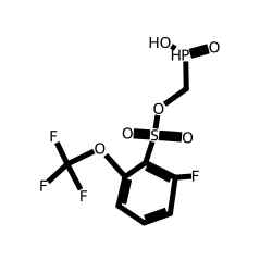 O=[PH](O)COS(=O)(=O)c1c(F)cccc1OC(F)(F)F